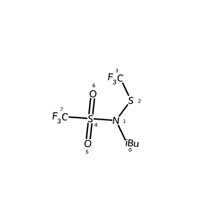 CCC(C)N(SC(F)(F)F)S(=O)(=O)C(F)(F)F